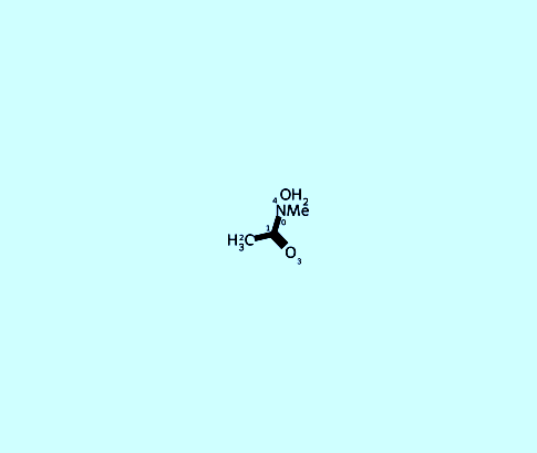 CNC(C)=O.O